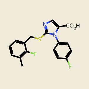 Cc1cccc(CSc2ncc(C(=O)O)n2-c2ccc(F)cc2)c1F